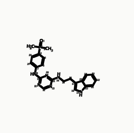 CP(C)(=O)c1ccc(Nc2ncnc(NCCc3c[nH]c4ccccc34)n2)cc1